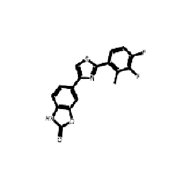 Cc1c(-c2nc(-c3ccc4[nH]c(=O)oc4c3)cs2)ccc(F)c1F